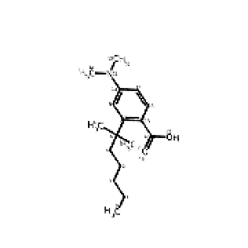 CCCCCC(C)(C)c1cc(N(C)C)ccc1C(=O)O